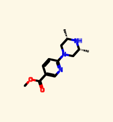 COC(=O)c1ccc(N2C[C@@H](C)N[C@@H](C)C2)nc1